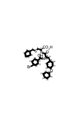 O=C(N[C@@H](CSCc1ccccc1)C(=O)O)C(=Cc1ccc(Oc2ccccc2)cc1)NC(=O)c1ccc(Br)cc1